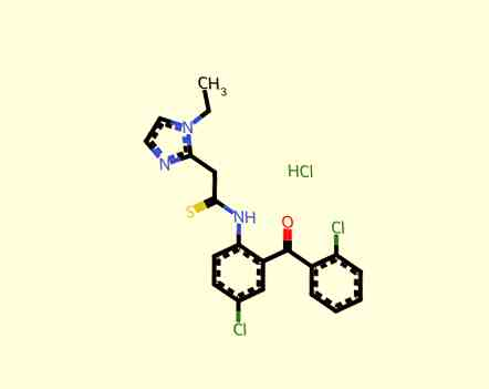 CCn1ccnc1CC(=S)Nc1ccc(Cl)cc1C(=O)c1ccccc1Cl.Cl